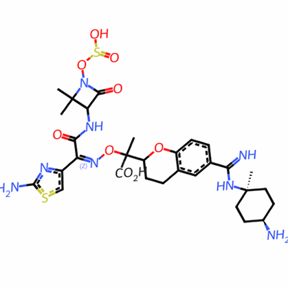 CC(O/N=C(\C(=O)NC1C(=O)N(OS(=O)O)C1(C)C)c1csc(N)n1)(C(=O)O)C1CCc2cc(C(=N)N[C@]3(C)CC[C@H](N)CC3)ccc2O1